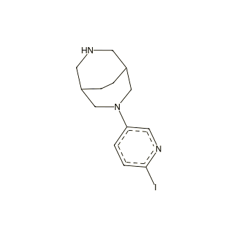 Ic1ccc(N2CC3CCC(CNC3)C2)cn1